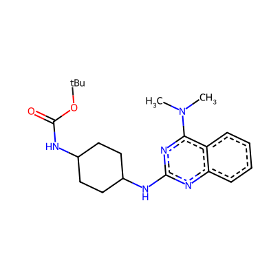 CN(C)c1nc(NC2CCC(NC(=O)OC(C)(C)C)CC2)nc2ccccc12